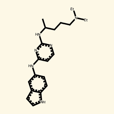 CCN(CC)CCCC(C)Nc1nccc(Nc2ccc3[nH]ccc3c2)n1